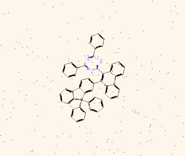 c1ccc(-c2nc(-c3ccccc3)nc(-c3c(-c4ccc5c(c4)C(c4ccccc4)(c4ccccc4)c4ccccc4-5)c4ccccc4c4ccccc34)n2)cc1